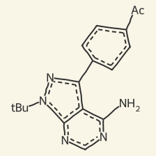 CC(=O)c1ccc(-c2nn(C(C)(C)C)c3ncnc(N)c23)cc1